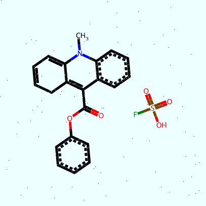 CN1C2=CC=CCC2=C(C(=O)Oc2ccccc2)c2ccccc21.O=S(=O)(O)F